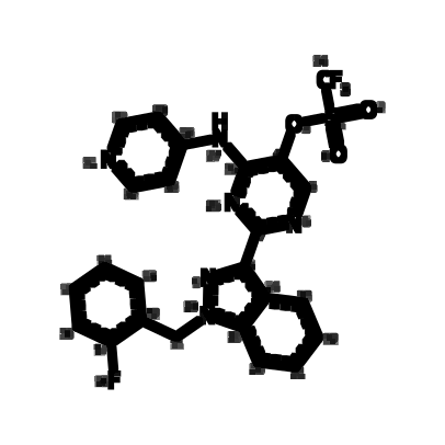 O=S(=O)(Oc1cnc(-c2nn(Cc3ccccc3F)c3ccccc23)nc1Nc1ccncc1)C(F)(F)F